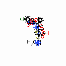 Cn1nnnc1SCC1=C(C(=O)O)N2C(=O)C(NC(=O)[C@@H](NC(=O)COc3ccc(Cl)cc3[N+](=O)[O-])c3ccccc3)[C@@H]2SC1